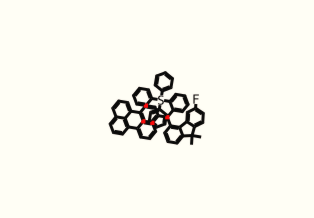 CC1(C)c2ccc(F)cc2-c2c(C(c3ccc(-c4cccc5cccc(-c6ccccc6)c45)cc3)c3ccccc3S(c3ccccc3)(c3ccccc3)c3ccccc3)cccc21